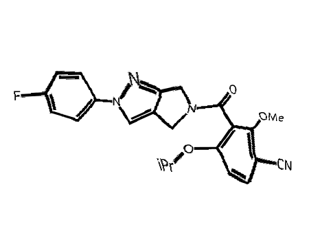 COc1c(C#N)ccc(OC(C)C)c1C(=O)N1Cc2cn(-c3ccc(F)cc3)nc2C1